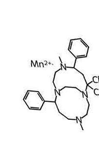 CN1CCC(c2ccccc2)N2CCN(C)C(c3ccccc3)CC(Cl)(Cl)N(CC1)CC2.[Mn+2]